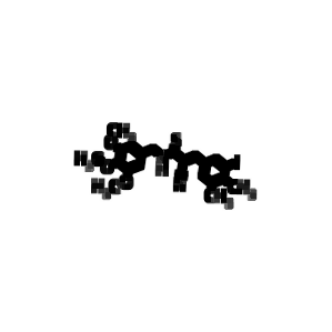 COc1cc(CNC(=S)/C(C#N)=C/c2cc(C)c(C)c(I)c2)cc(OC)c1OC